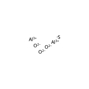 [Al+3].[Al+3].[O-2].[O-2].[O-2].[S]